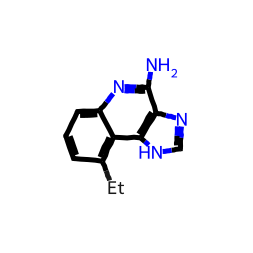 CCc1cccc2nc(N)c3nc[nH]c3c12